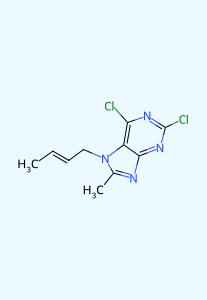 CC=CCn1c(C)nc2nc(Cl)nc(Cl)c21